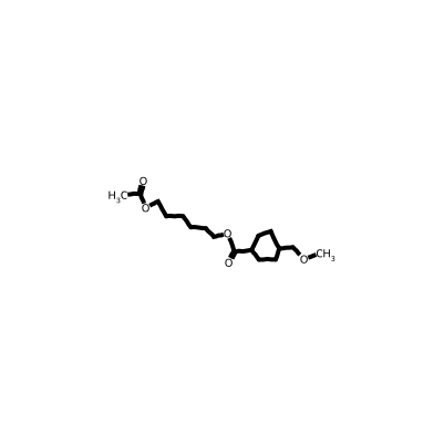 COCC1CCC(C(=O)OCCCCCCOC(C)=O)CC1